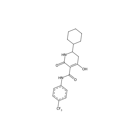 O=C(Nc1ccc(C(F)(F)F)cc1)C1=C(O)CC(C2CCCCC2)NC1=O